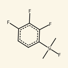 C[Si](C)(F)c1ccc(F)c(F)c1F